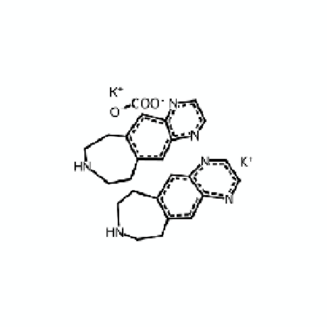 O=C([O-])[O-].[K+].[K+].c1cnc2cc3c(cc2n1)CCNCC3.c1cnc2cc3c(cc2n1)CCNCC3